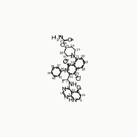 C[C@H](Nc1ncnc2[nH]ccc(=O)c12)c1c(Cl)c2cccc(N3CCC(OC(N)=O)CC3)c2c(=O)n1-c1ccccc1